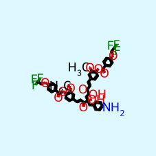 COc1cc(/C=C/C(=O)C(O)CC(O)(Cc2ccc(N)cc2)C(=O)/C=C/c2ccc(OC(=O)c3ccc(OCC(F)(F)F)cc3)c(OC)c2)ccc1OC(=O)c1ccc(OCC(F)(F)F)cc1